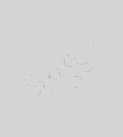 Cc1ccc(-n2c(-c3ccccc3)ccc2-c2ccccc2)cc1-c1ccc(-n2c3ccc(C(C)(C)C)cc3c3cc(C(C)(C)C)ccc32)cc1